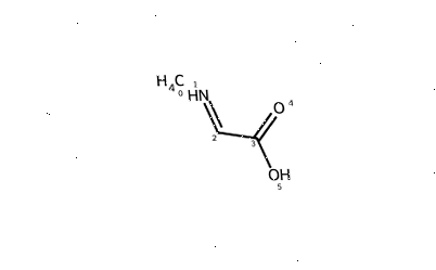 C.N=CC(=O)O